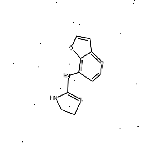 c1cc(NC2=NCCN2)c2occc2c1